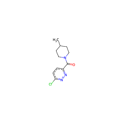 CC1CCN(C(=O)c2ccc(Cl)nn2)CC1